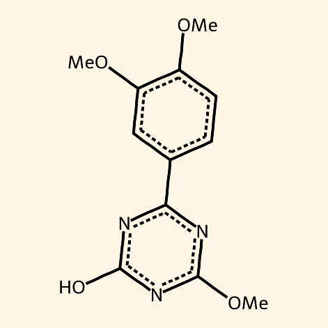 COc1nc(O)nc(-c2ccc(OC)c(OC)c2)n1